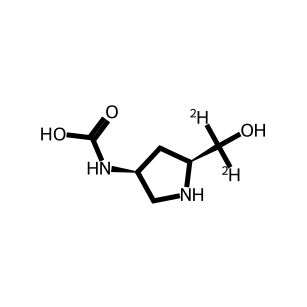 [2H]C([2H])(O)[C@@H]1C[C@H](NC(=O)O)CN1